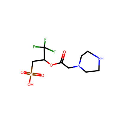 O=C(CN1CCNCC1)OC(CS(=O)(=O)O)C(F)(F)F